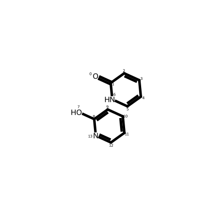 O=c1cccc[nH]1.Oc1ccccn1